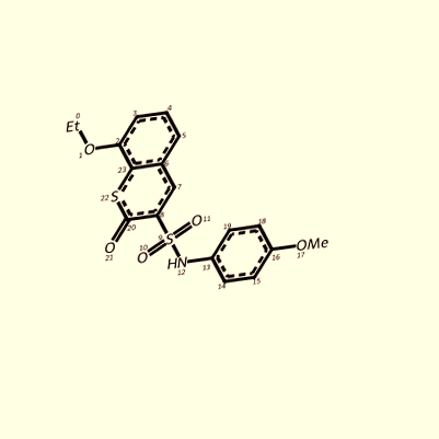 CCOc1cccc2cc(S(=O)(=O)Nc3ccc(OC)cc3)c(=O)sc12